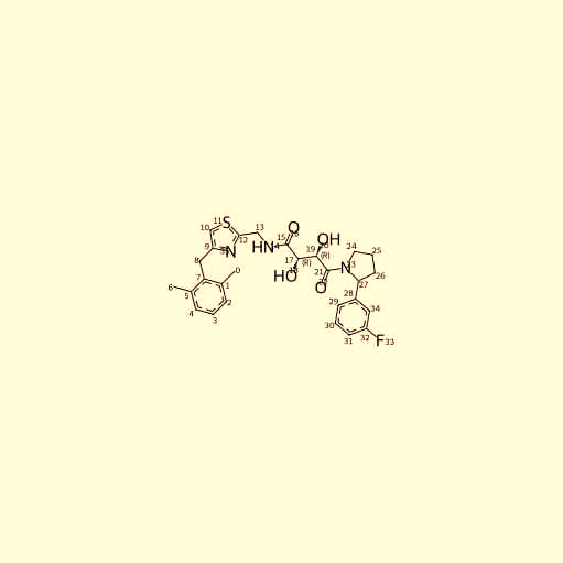 Cc1cccc(C)c1Cc1csc(CNC(=O)[C@H](O)[C@@H](O)C(=O)N2CCCC2c2cccc(F)c2)n1